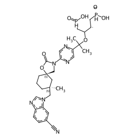 CC(C)(OC([CH]C[PH](=O)O)C[PH](=O)O)c1cnc(N2C[C@@]3(CCC[C@](C)(Cn4cnc5ccc(C#N)cc54)C3)OC2=O)cn1